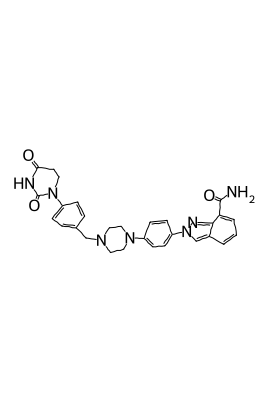 NC(=O)c1cccc2cn(-c3ccc(N4CCN(Cc5ccc(N6CCC(=O)NC6=O)cc5)CC4)cc3)nc12